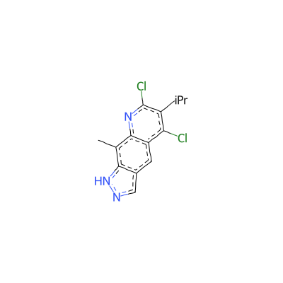 Cc1c2nc(Cl)c(C(C)C)c(Cl)c2cc2cn[nH]c12